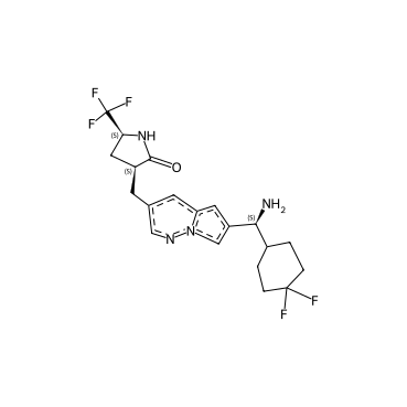 N[C@H](c1cc2cc(C[C@H]3C[C@@H](C(F)(F)F)NC3=O)cnn2c1)C1CCC(F)(F)CC1